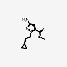 CNC(=O)c1cc(N)nn1CCC1CC1